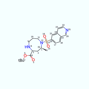 C[C@H]1CC(C(=O)OC(C)(C)C)NCCCN1S(=O)(=O)c1ccc2cnccc2c1